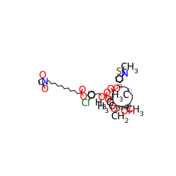 C=CC[C@H]1C(=O)C(C)(C)[C@@H](OC(=O)OCc2ccc(OC(=O)CCCCCCCCCCN3C(=O)C=CC3=O)c(Cl)c2)CC(=O)O[C@H](c2ccc3sc(C)nc3c2)C/C=C(\C)CCC[C@H](C)[C@@H]1O